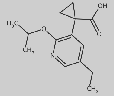 CCc1cnc(OC(C)C)c(C2(C(=O)O)CC2)c1